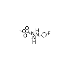 CCOC(=O)/C(C=O)=C/N=C(\NC)NCC1C=CC(F)=CC1